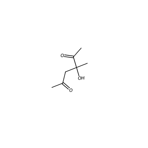 CC(=O)CC(C)(O)C(C)=O